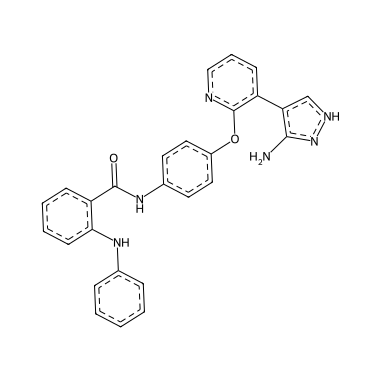 Nc1n[nH]cc1-c1cccnc1Oc1ccc(NC(=O)c2ccccc2Nc2ccccc2)cc1